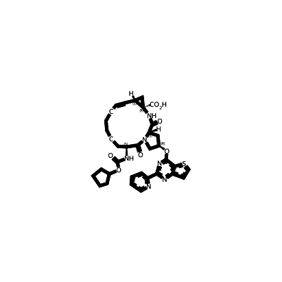 O=C(N[C@H]1CCCCCC=C[C@@H]2C[C@@]2(C(=O)O)NC(=O)[C@@H]2C[C@@H](Oc3nc(-c4ccccn4)nc4ccsc34)CN2C1=O)OC1CCCC1